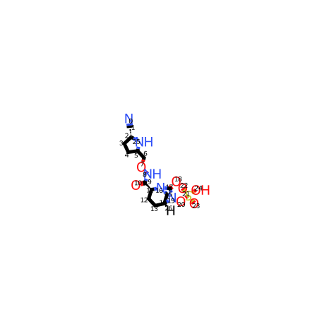 N#C[C@H]1CCC(CONC(=O)[C@@H]2CC[C@@H]3CN2C(=O)N3OS(=O)(=O)O)N1